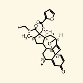 C[C@@H]1CC2C3C[C@H](F)C4=CC(=O)C=C[C@@]45C=C4[C@H](C[C@]2(C)[C@@]1(OC(=O)c1ccco1)C(=O)SCF)O[C@@]435